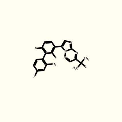 CC(C)(F)c1cnn2c(-c3ccc(F)c(-c4ccc(F)cc4C#N)c3F)cnc2n1